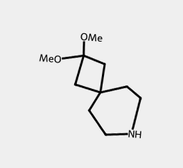 COC1(OC)CC2(CCNCC2)C1